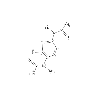 NC(=O)N(N)c1ccc(N(N)C(N)=O)c(Br)c1